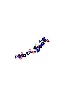 CCOc1cc(-c2ccc(N3CCC(CN4CCN(CCOCCC(=O)N5CCN(c6ccc7c(c6)C(=O)N(C6CCC(=O)NC6=O)C7)CC5)CC4)(NC(=O)c4cc(F)ccc4F)CC3)nc2)c2c(C#N)cnn2c1